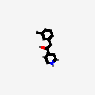 Cc1cccc(CC(=O)c2ccncc2)c1